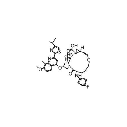 COc1ccc2c(O[C@@H]3C[C@H]4C(=O)N[C@]5(C(=O)O)C[C@H]5/C=C\CCCCC[C@H](Nc5ccc(F)cc5)C(=O)N4C3)cc(-c3nc(C(C)C)cs3)nc2c1C